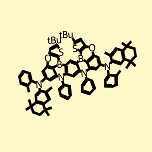 Cc1ccccc1N(c1cc2c3c(c1)N(c1ccccc1)c1cc4c(cc1B3c1sc(C(C)(C)C)cc1O2)B1c2sc(C(C)(C)C)cc2Oc2cc(N(c3ccccc3C)c3cc5c(cc3C)C(C)(C)CCC5(C)C)cc(c21)N4c1ccccc1)c1cc2c(cc1C)C(C)(C)CCC2(C)C